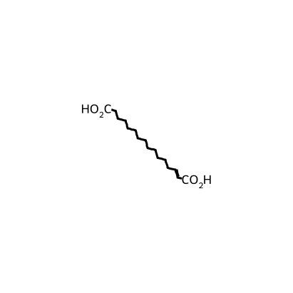 O=C(O)C=CCCCCCCCCCCCCC(=O)O